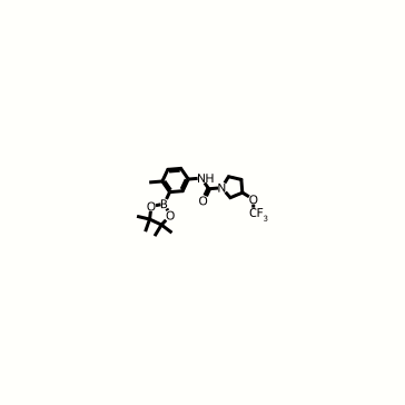 Cc1ccc(NC(=O)N2CCC(OC(F)(F)F)C2)cc1B1OC(C)(C)C(C)(C)O1